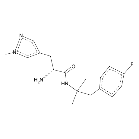 Cn1cc(C[C@@H](N)C(=O)NC(C)(C)Cc2ccc(F)cc2)cn1